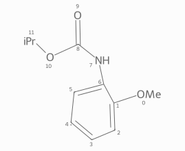 COc1cc[c]cc1NC(=O)OC(C)C